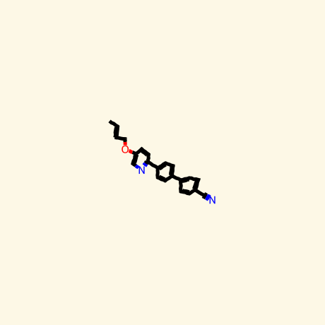 C/C=C/COc1ccc(-c2ccc(-c3ccc(C#N)cc3)cc2)nc1